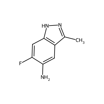 Cc1n[nH]c2cc(F)c(N)cc12